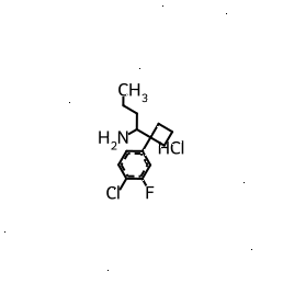 CCCC(N)C1(c2ccc(Cl)c(F)c2)CCC1.Cl